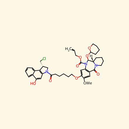 C=CCOC(=O)N1c2cc(OCCCCCC(=O)N3C[C@@H](CCl)c4c3cc(O)c3ccccc43)c(OC)cc2C(=O)N2CCCC[C@H]2[C@@H]1OC1CCCCO1